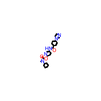 CN(C(=O)Oc1ccc(NC(=O)c2ccc(-n3ccnc3)cc2)cn1)c1ccccc1